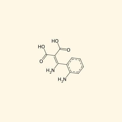 NC(=C(C(=O)O)C(=O)O)c1ccccc1N